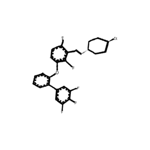 CC[C@H]1CC[C@H](CCc2c(F)c[c]c(Oc3ccccc3-c3cc(F)c(F)c(F)c3)c2F)CC1